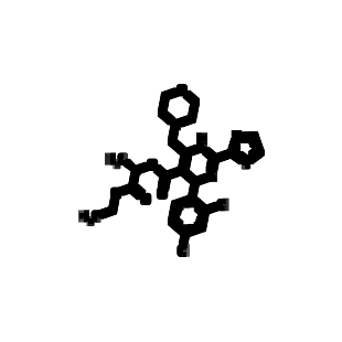 CCOC(=O)[C@@H](C)OC(=O)C1=C(CN2CCOCC2)NC(c2nccs2)=NC1c1ccc(Cl)cc1Cl